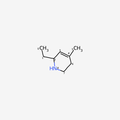 CCC1C=C(C)CCN1